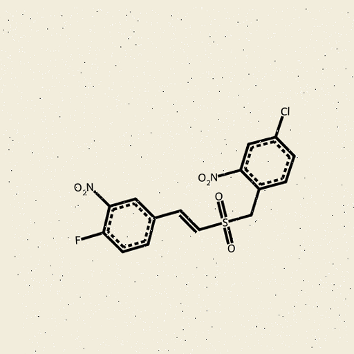 O=[N+]([O-])c1cc(/C=C/S(=O)(=O)Cc2ccc(Cl)cc2[N+](=O)[O-])ccc1F